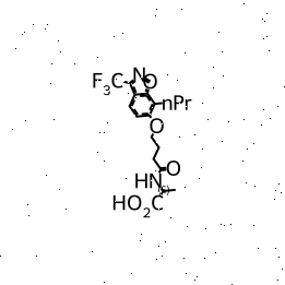 CCCc1c(OCCCC(=O)N[C@@H](C)C(=O)O)ccc2c(C(F)(F)F)noc12